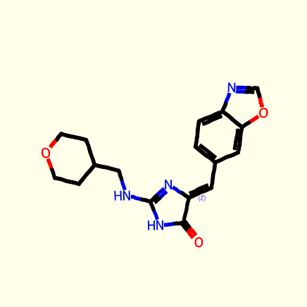 O=C1NC(NCC2CCOCC2)=N/C1=C\c1ccc2ncoc2c1